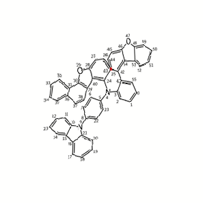 c1ccc(N(c2ccc(-n3c4ccccc4c4ccccc43)cc2)c2cccc3oc4c5ccccc5ccc4c23)c(-c2cccc3oc4ccccc4c23)c1